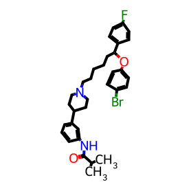 CC(C)C(=O)Nc1cccc(C2CCN(CCCCCC(Oc3ccc(Br)cc3)c3ccc(F)cc3)CC2)c1